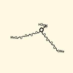 COCCOCCOCCOCCOCc1ccc(C(C)C)cc1COCCOCCOCCOCCOC.OO